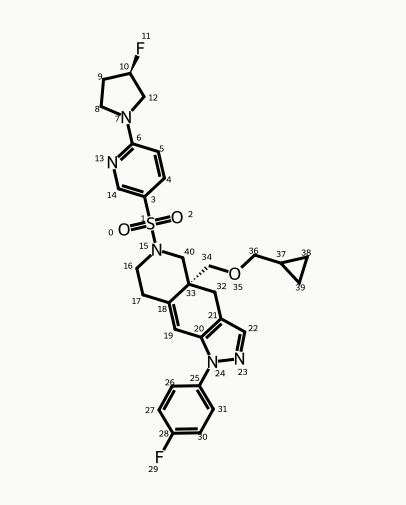 O=S(=O)(c1ccc(N2CC[C@@H](F)C2)nc1)N1CCC2=Cc3c(cnn3-c3ccc(F)cc3)C[C@]2(COCC2CC2)C1